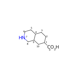 O=C(O)C1CCC2CCNCC2C1